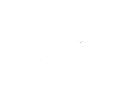 COCC1OC1c1ccc(Cl)cc1